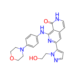 O=c1[nH]ccc2cc(-c3ccnn3CCO)nc(Nc3ccc(N4CCOCC4)cc3)c12